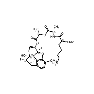 COc1ccc2c3c1O[C@@H]1C(OC(=O)[C@H](C)OC(=O)[C@H](C)NC(=O)[C@H](CCCCN)NC(C)=O)=CC[C@]4(O)[C@@H](CCC[C@@]314)C2